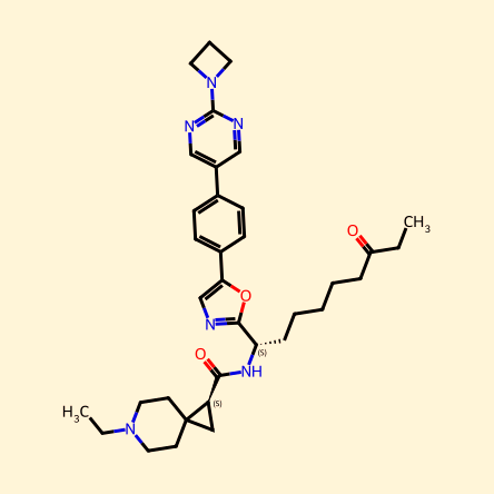 CCC(=O)CCCCC[C@H](NC(=O)[C@H]1CC12CCN(CC)CC2)c1ncc(-c2ccc(-c3cnc(N4CCC4)nc3)cc2)o1